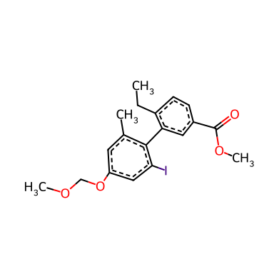 CCc1ccc(C(=O)OC)cc1-c1c(C)cc(OCOC)cc1I